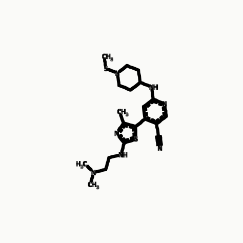 CSN1CCC(Nc2cc(-c3sc(NCCN(C)C)nc3C)c(C#N)cn2)CC1